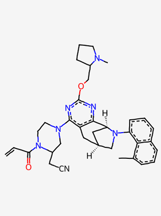 C=CC(=O)N1CCN(c2nc(OCC3CCCN3C)nc3c2C[C@H]2C[C@@H]3N(c3cccc4cccc(C)c34)C2)CC1CC#N